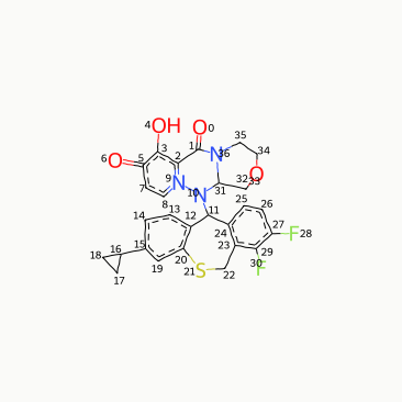 O=C1c2c(O)c(=O)ccn2N(C2c3ccc(C4CC4)cc3SCc3c2ccc(F)c3F)C2COCCN12